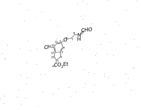 CCOC(=O)C1Cc2cc(OCCNC=O)cc(Cl)c2C1